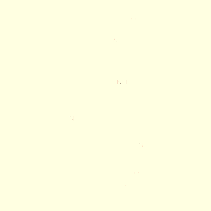 COc1ccc2[nH]c(-c3ccncc3OCCN(C)C(=O)OC(C)(C)C)c(-c3ccccc3)c2n1